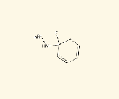 CCCNC1(F)[CH]C=CC=C1